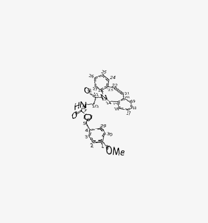 COc1ccc(COC(=O)NCC(=O)N2Cc3ccccc3C#Cc3ccccc32)cc1